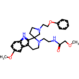 COCC(=O)NCCN1CCc2c([nH]c3ccc(OC)cc23)C12CCN(CCOc1ccccc1)C2